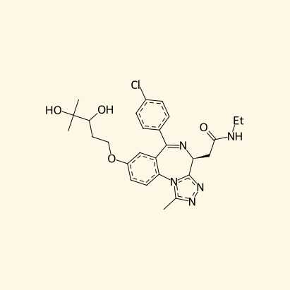 CCNC(=O)C[C@@H]1N=C(c2ccc(Cl)cc2)c2cc(OCCC(O)C(C)(C)O)ccc2-n2c(C)nnc21